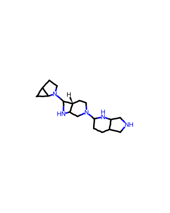 C1CC(N2CC[C@@H]3C(C2)NC3N2CCC3CC32)NC2CNCC12